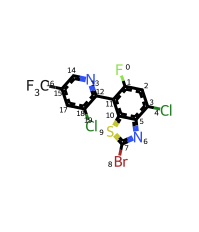 Fc1cc(Cl)c2nc(Br)sc2c1-c1ncc(C(F)(F)F)cc1Cl